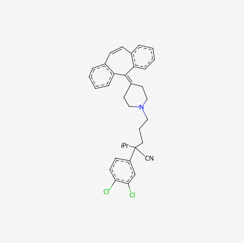 CC(C)C(C#N)(CCCN1CCC(=C2c3ccccc3C=Cc3ccccc32)CC1)c1ccc(Cl)c(Cl)c1